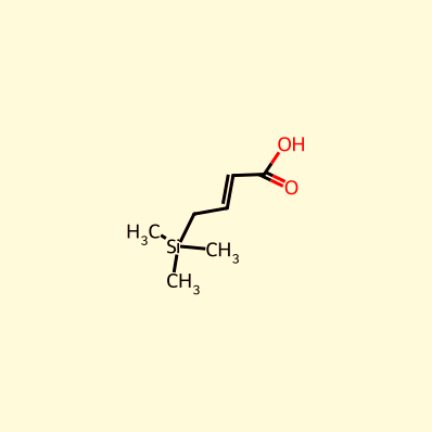 C[Si](C)(C)CC=CC(=O)O